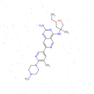 CCCCC(C)(CO)Nc1nc(N)nc2cc(-c3cnc(N4CCN(C)CC4)c(C)c3)ncc12